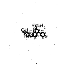 NC(=O)c1cc(-c2ccc(F)cc2)c2ccc(Cc3ccc(CO)nc3)c(F)c2n1